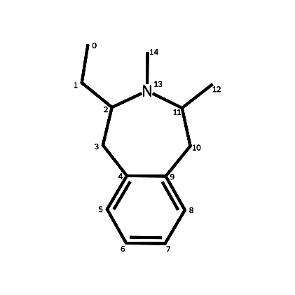 CCC1Cc2ccccc2CC(C)N1C